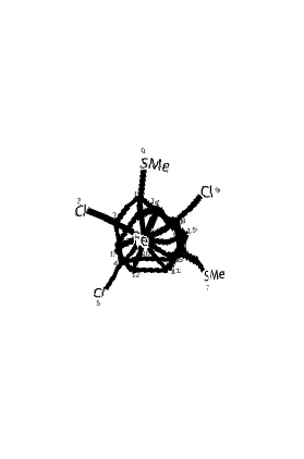 CS[C]12[C]3(Cl)[C]4(Cl)[C]5(SC)[C]1(Cl)[Fe]34251678[CH]2[CH]1[CH]6[CH]7[CH]28